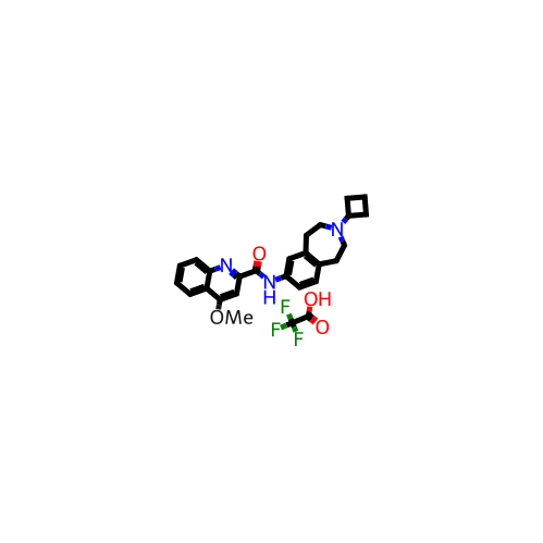 COc1cc(C(=O)Nc2ccc3c(c2)CCN(C2CCC2)CC3)nc2ccccc12.O=C(O)C(F)(F)F